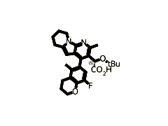 Cc1nc2c(cc3n2CCCC3)c(-c2cc(F)c3c(c2C)CCCO3)c1[C@H](OC(C)(C)C)C(=O)O